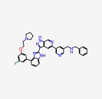 Fc1cc(OCCN2CCCC2)cc(-c2cccc3[nH]c(-c4n[nH]c5cnc(-c6cncc(CNCc7ccccc7)c6)cc45)nc23)c1